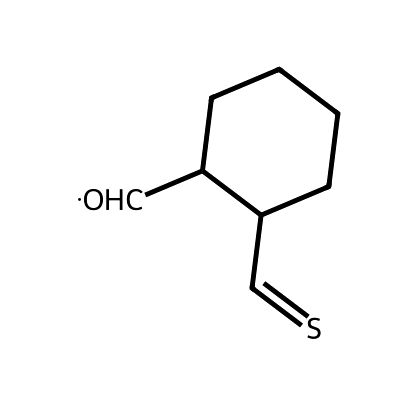 O=[C]C1CCCCC1C=S